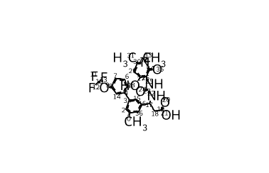 Cc1cc(-c2cccc(OC(F)(F)F)c2)cc(C(CC(=O)O)NC(=O)Nc2c(O)cc(C)n(C)c2=O)c1